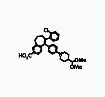 COC(OC)C1CCN(c2ccc(C3=C(c4ccccc4Cl)CCCc4cc(C(=O)O)ccc43)cc2)CC1